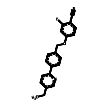 CCc1ccc(-c2ccc(COc3ccc(C#N)c(F)c3)cc2)nc1